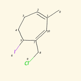 CC1=CCCC(I)C(CCl)=C1